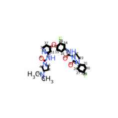 CN(C)C1CCN(C(=O)Nc2cc(Oc3ccc(NC(=O)N4CCN(c5ccc(F)cc5)C4=O)cc3F)ccn2)C1